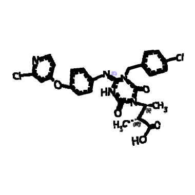 C[C@@H](C(=O)O)[C@H](C)n1c(=O)[nH]/c(=N\c2ccc(Oc3ccnc(Cl)c3)cc2)n(Cc2ccc(Cl)cc2)c1=O